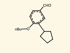 CCCCOc1ccc(C=O)cc1C1CCCC1